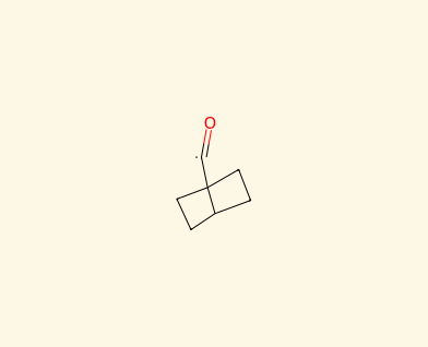 O=[C]C12CCC1CC2